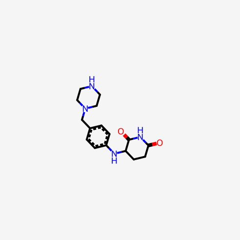 O=C1CCC(Nc2ccc(CN3CCNCC3)cc2)C(=O)N1